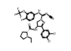 CCN1CCC[C@@H]1C(=O)NC1CN(C(=NC#N)Nc2ccc(F)c(OC(F)(F)F)c2)N=C1c1ccc(Cl)c(Cl)c1